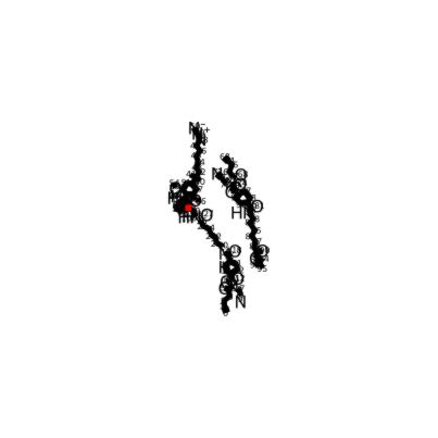 C#CCCC(=O)N(CC#N)S(=O)(=O)c1ccc(C(=O)NCCCCCCC(=O)NCC2=C[C@H](c3c(OC)cc(C(C)(C)CCCCCCN=[N+]=[N-])cc3OC)[C@@H]3C[C@H]2C3(C)C)cc1.C#CCCC(=O)N(CC#N)S(=O)(=O)c1ccc(C(=O)NCCCCCCC(=O)OC(C)(C)C)cc1